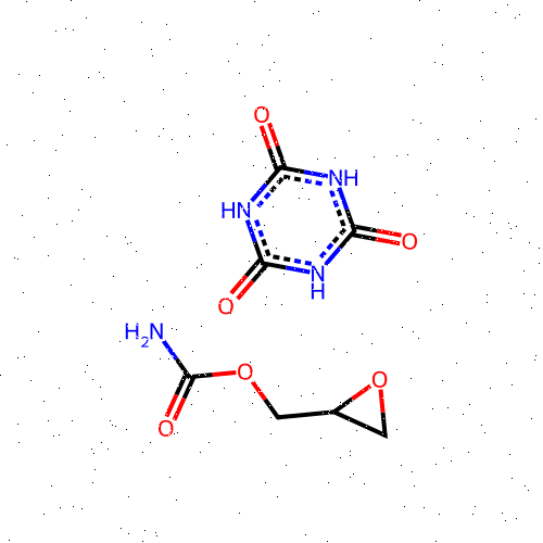 NC(=O)OCC1CO1.O=c1[nH]c(=O)[nH]c(=O)[nH]1